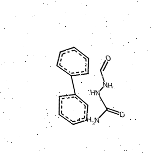 NC(=O)NNC=O.c1ccc(-c2ccccc2)cc1